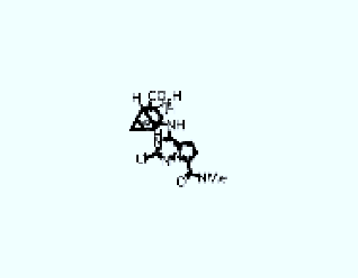 CNC(=O)c1ccc2c(N[C@@H]3[C@@H](C(=O)O)[C@H]4CC[C@@H]3C3CC34)nc(Cl)nn12